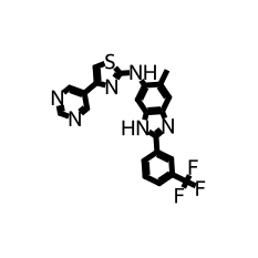 Cc1cc2nc(-c3cccc(C(F)(F)F)c3)[nH]c2cc1Nc1nc(-c2cncnc2)cs1